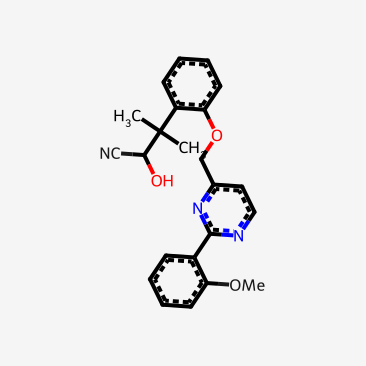 COc1ccccc1-c1nccc(COc2ccccc2C(C)(C)C(O)C#N)n1